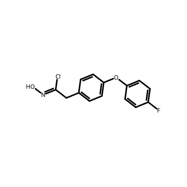 ON=C(Cl)Cc1ccc(Oc2ccc(F)cc2)cc1